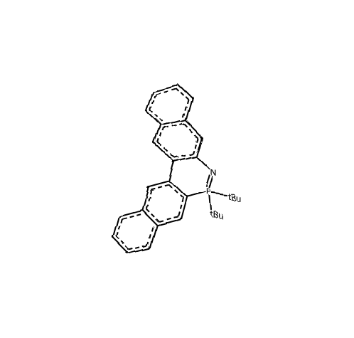 CC(C)(C)P1(C(C)(C)C)=Nc2cc3ccccc3cc2-c2cc3ccccc3cc21